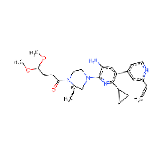 C=Cc1cc(-c2cc(N)c(N3CCN(C(=O)CCC(OC)OC)[C@H](C)C3)nc2C2CC2)ccn1